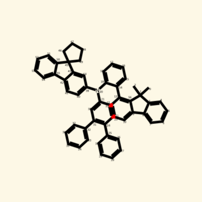 CC1(C)c2ccccc2-c2cccc(-c3ccccc3N(c3ccc(-c4ccccc4)c(-c4ccccc4)c3)c3ccc4c(c3)C3(CCCC3)c3ccccc3-4)c21